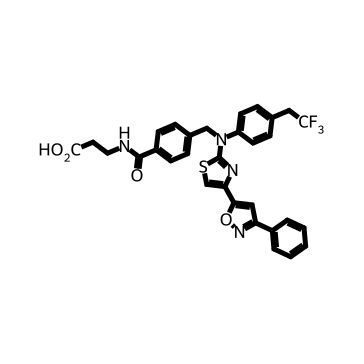 O=C(O)CCNC(=O)c1ccc(CN(c2ccc(CC(F)(F)F)cc2)c2nc(-c3cc(-c4ccccc4)no3)cs2)cc1